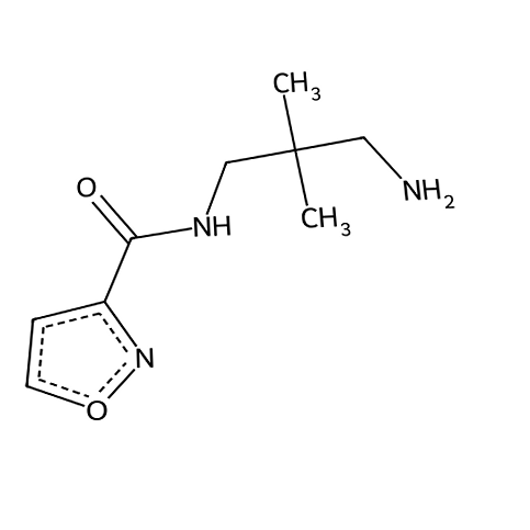 CC(C)(CN)CNC(=O)c1ccon1